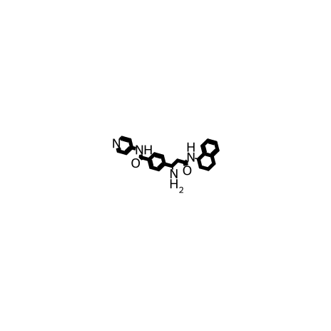 N[C@@H](CC(=O)N[C@H]1CCCc2ccccc21)c1ccc(C(=O)Nc2ccncc2)cc1